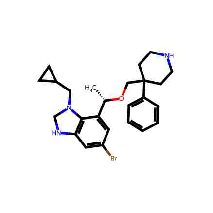 C[C@H](OCC1(c2ccccc2)CCNCC1)c1cc(Br)cc2c1N(CC1CC1)CN2